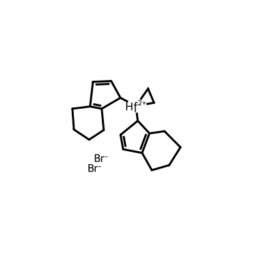 C1=C[CH]([Hf+2]2([CH]3C=CC4=C3CCCC4)[CH2][CH2]2)C2=C1CCCC2.[Br-].[Br-]